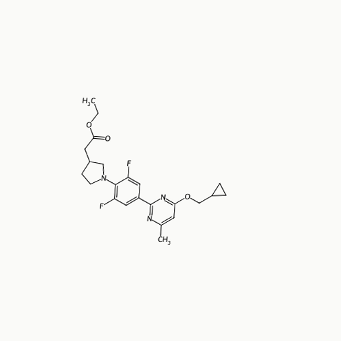 CCOC(=O)CC1CCN(c2c(F)cc(-c3nc(C)cc(OCC4CC4)n3)cc2F)C1